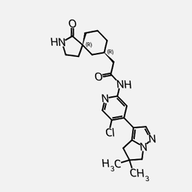 CC1(C)Cc2c(-c3cc(NC(=O)C[C@@H]4CCC[C@]5(CCNC5=O)C4)ncc3Cl)cnn2C1